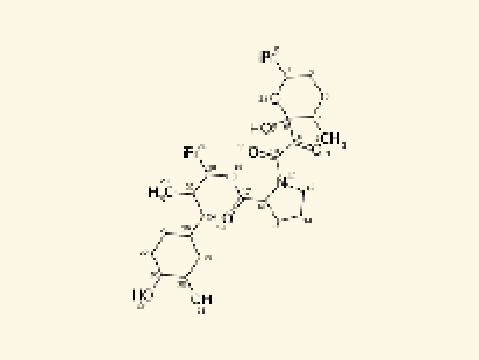 CC(C)C1CCC(C)C(O)(C(=O)C(=O)N2CCCC2C(=O)OC(C(C)C)C(C)CC2CCC(O)C(O)C2)O1